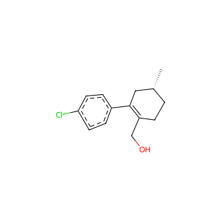 C[C@@H]1CCC(CO)=C(c2ccc(Cl)cc2)C1